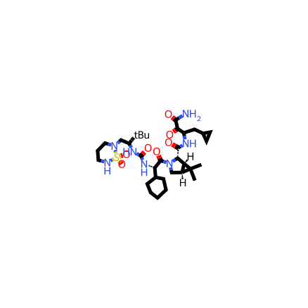 CC(C)(C)C(CN1CCCNS1(=O)=O)NC(=O)N[C@H](C(=O)N1C[C@H]2[C@@H]([C@H]1C(=O)NC(CC1CC1)C(=O)C(N)=O)C2(C)C)C1CCCCC1